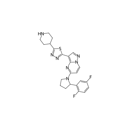 Fc1ccc(F)c(C2CCCN2c2ccn3ncc(-c4nnc(C5CCNCC5)s4)c3n2)c1